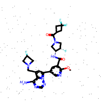 COc1ncc(-c2cc(CN3CC(F)C3)c3c(N)ncnn23)cc1C(=O)N[C@@H]1CN(C(=O)C2CC(F)(F)C2)C[C@@H]1F